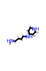 CNCCCCNC1CCNCC1